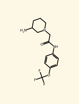 NC1CCCN(CC(=O)Nc2ccc(OC(F)(F)F)cc2)C1